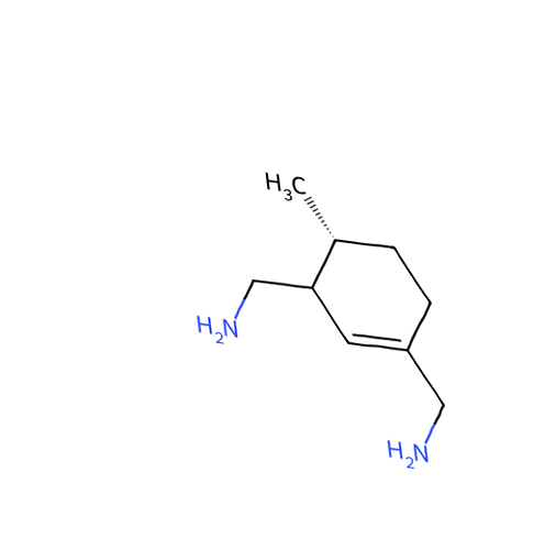 C[C@@H]1CCC(CN)=CC1CN